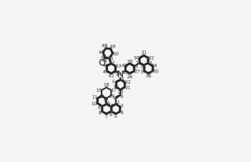 C(=Cc1cccc2ccc3ccc4c(c3c12)CCCC4)c1ccc(N(c2ccc(-c3cccc4ccccc34)cc2)c2ccc3oc4ccccc4c3c2)cc1